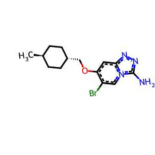 C[C@H]1CC[C@H](COc2cc3nnc(N)n3cc2Br)CC1